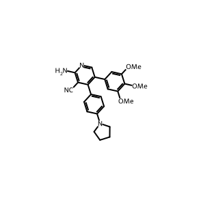 COc1cc(-c2cnc(N)c(C#N)c2-c2ccc(N3CCCC3)cc2)cc(OC)c1OC